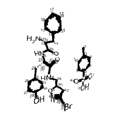 Cc1ccc(S(=O)(=O)O)cc1.N[C@@H](Cc1ccccc1)C(=O)N[C@@H](Cc1ccc(O)cc1)C(=O)NCC1CC(Br)=NO1